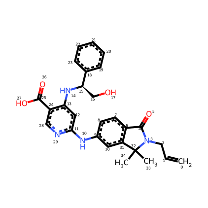 C=CCN1C(=O)c2ccc(Nc3cc(N[C@H](CO)c4ccccc4)c(C(=O)O)cn3)cc2C1(C)C